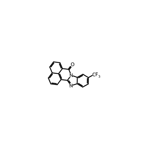 O=c1c2cccc3cccc(c32)c2nc3ccc(C(F)(F)F)cc3n12